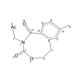 CC(=O)CN1C(=O)OCCc2cc(C)ccc2C1=O